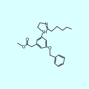 CCCCCC1=NCC[SH]1c1cc(CC(=O)OC)cc(OCc2ccccc2)c1